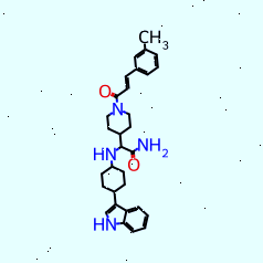 Cc1cccc(/C=C/C(=O)N2CCC(C(NC3CCC(c4c[nH]c5ccccc45)CC3)C(N)=O)CC2)c1